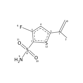 C=C(C)c1cc(F)c(S(N)(=O)=O)s1